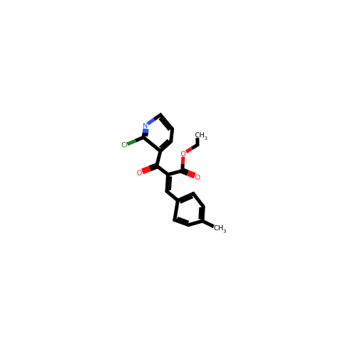 CCOC(=O)C(=Cc1ccc(C)cc1)C(=O)c1cccnc1Cl